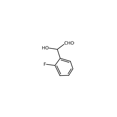 O=[C]C(O)c1ccccc1F